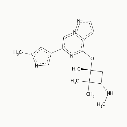 CN[C@H]1C[C@@](C)(Oc2nc(-c3cnn(C)c3)cn3nccc23)C1(C)C